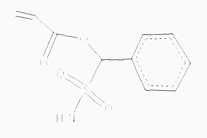 C=CC(=O)OC(c1ccccc1)S(N)(=O)=O